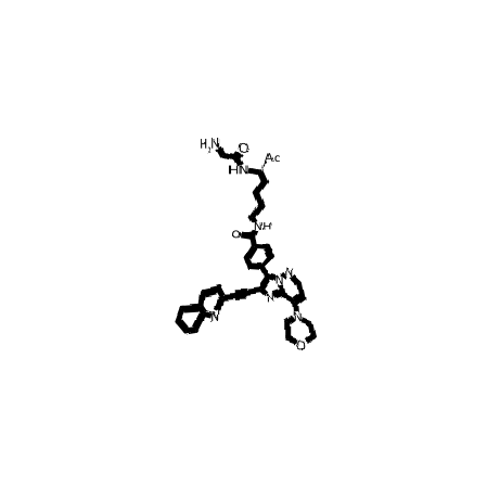 CC(=O)[C@H](CCCCNC(=O)c1ccc(-c2c(C#Cc3ccc4ccccc4n3)nc3c(N4CCOCC4)ccnn23)cc1)NC(=O)CN